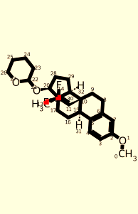 COc1ccc2c(c1)CC[C@]1(C=C(F)F)[C@@H]2CC[C@]2(C)[C@@H](OC3CCCCO3)CC[C@H]21